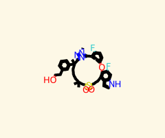 Cn1nc2nc1-c1cc(ccc1F)Oc1c(F)cc3[nH]ccc3c1CCS(=O)(=O)CC(C)(C)CCCC2(C)c1cccc(CCO)c1